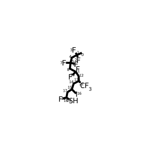 CC(F)(F)CC(F)(F)CC(F)(F)CC(CC(I)CC(F)S)C(F)(F)F